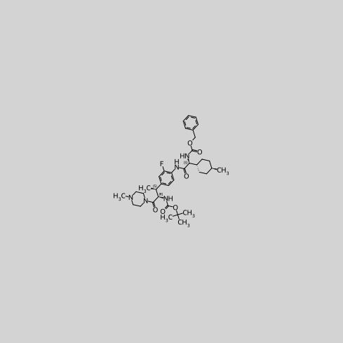 C[C@@H](c1ccc(NC(=O)[C@@H](NC(=O)OCc2ccccc2)[C@H]2CC[C@H](C)CC2)c(F)c1)[C@@H](NC(=O)OC(C)(C)C)C(=O)N1CCN(C)CC1